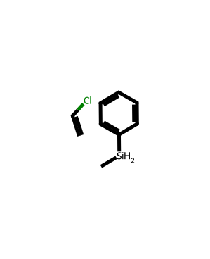 C=CCl.C[SiH2]c1ccccc1